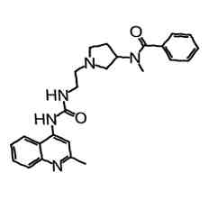 Cc1cc(NC(=O)NCCN2CCC(N(C)C(=O)c3ccccc3)C2)c2ccccc2n1